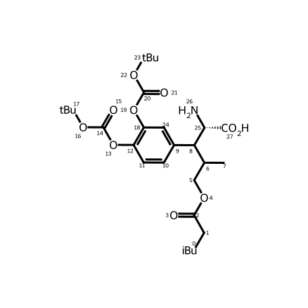 CCC(C)CC(=O)OCC(C)C(c1ccc(OC(=O)OC(C)(C)C)c(OC(=O)OC(C)(C)C)c1)[C@H](N)C(=O)O